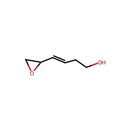 OCCC=CC1CO1